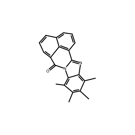 Cc1c(C)c(C)c2c(nc3c4cccc5cccc(c(=O)n32)c54)c1C